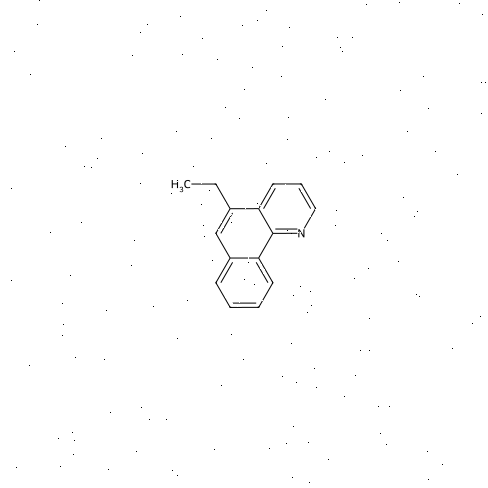 CCc1cc2ccccc2c2ncccc12